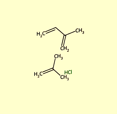 C=C(C)C.C=CC(=C)C.Cl